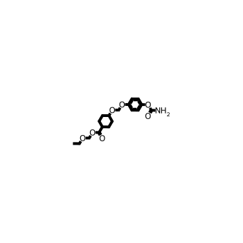 CCOCOC(=O)C1CCC(OCOc2ccc(OC(N)=O)cc2)CC1